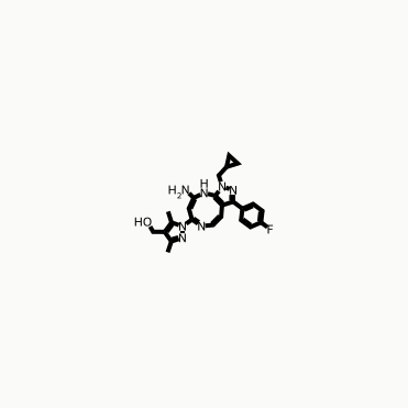 Cc1nn(-c2cc(N)[nH]c3c(ccn2)c(-c2ccc(F)cc2)nn3CC2CC2)c(C)c1CO